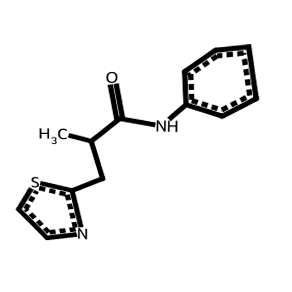 CC(Cc1nccs1)C(=O)Nc1ccccc1